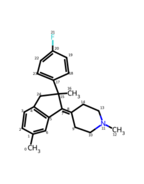 Cc1ccc2c(c1)C(=C1CCN(C)CC1)C(C)(c1ccc(F)cc1)C2